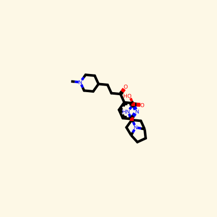 CN1CCC(CCC(=O)c2ccc(N3C4CCC3CC(NC(=O)O)C4)nc2)CC1